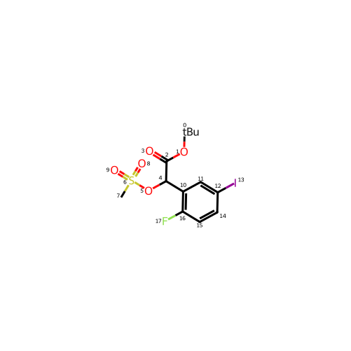 CC(C)(C)OC(=O)C(OS(C)(=O)=O)c1cc(I)ccc1F